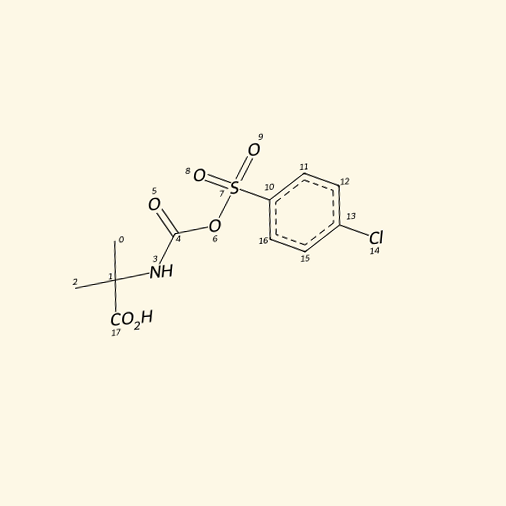 CC(C)(NC(=O)OS(=O)(=O)c1ccc(Cl)cc1)C(=O)O